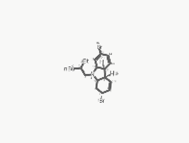 CCCCC(CC)CN1C2C[C@@H](Br)C=C[C@H]2[C@H]2C=CC(Br)=CC21